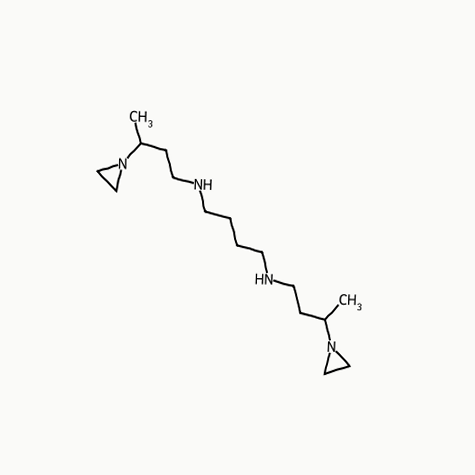 CC(CCNCCCCNCCC(C)N1CC1)N1CC1